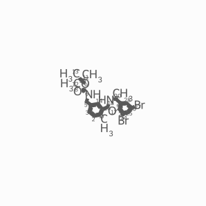 Cc1ccc(CNC(=O)OC(C)(C)C)cc1C(=O)NC(C)c1cc(Br)cc(Br)c1